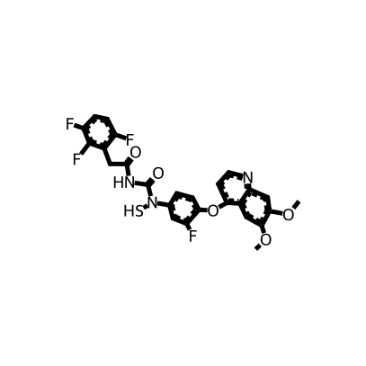 COc1cc2nccc(Oc3ccc(N(S)C(=O)NC(=O)Cc4c(F)ccc(F)c4F)cc3F)c2cc1OC